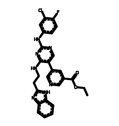 CCOC(=O)c1cncc(-c2cnc(Nc3ccc(F)c(Cl)c3)nc2NCCc2nc3ccccc3[nH]2)c1